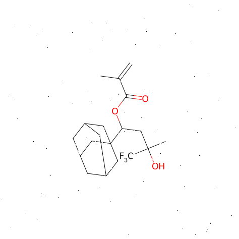 C=C(C)C(=O)OC(CC(C)(O)C(F)(F)F)C12CC3CC(CC(C3)C1)C2